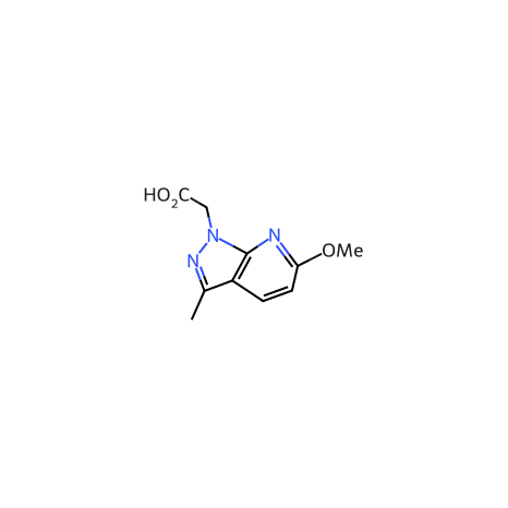 COc1ccc2c(C)nn(CC(=O)O)c2n1